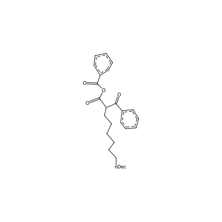 CCCCCCCCCCCCCCCCC(C(=O)OC(=O)c1ccccc1)C(=O)c1ccccc1